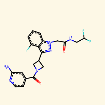 Nc1cc(C(=O)N2CC(c3nn(CC(=O)NCC(F)F)c4cccc(F)c34)C2)ccn1